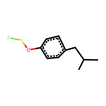 CC(C)Cc1ccc(OSF)cc1